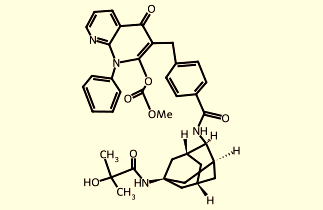 COC(=O)Oc1c(Cc2ccc(C(=O)N[C@@H]3[C@@H]4C[C@@H]5C[C@H]3C[C@](NC(=O)C(C)(C)O)(C5)C4)cc2)c(=O)c2cccnc2n1-c1ccccc1